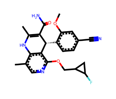 COc1cc(C#N)ccc1[C@H]1C(C(N)=O)=C(C)Nc2c(C)cnc(OCC3CC3F)c21